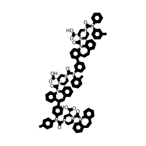 Cc1ccc(N(C(=O)N2CCN(C(=O)N3c4ccccc4C=Cc4ccccc43)[C@H](C(=O)O)C2)c2ccc(C3=Cc4ccccc4N(C(=O)N4CCN(C(=O)N(c5cccc(-c6cccc7c6C=Cc6ccccc6N7C(=O)N6CCN(C(=O)N(c7ccccc7)c7cccc(C)c7)C[C@H]6C(=O)O)c5)c5ccccc5C)C[C@H]4C(=O)O)c4ccccc43)cc2)cc1